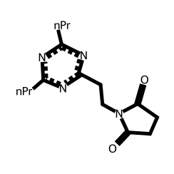 CCCc1nc(CCC)nc(CCN2C(=O)CCC2=O)n1